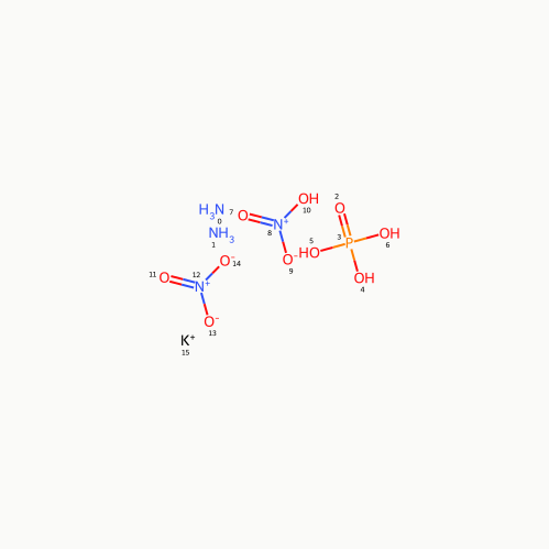 N.N.O=P(O)(O)O.O=[N+]([O-])O.O=[N+]([O-])[O-].[K+]